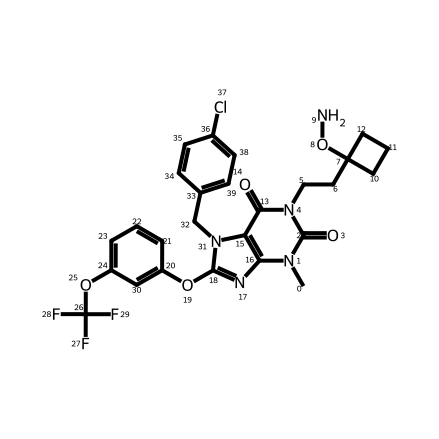 Cn1c(=O)n(CCC2(ON)CCC2)c(=O)c2c1nc(Oc1cccc(OC(F)(F)F)c1)n2Cc1ccc(Cl)cc1